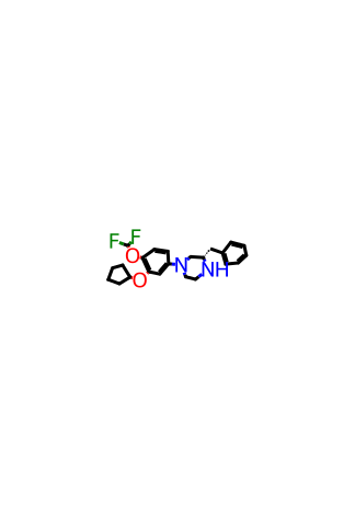 FC(F)Oc1ccc(N2CCN[C@@H](Cc3ccccc3)C2)cc1OC1CCCC1